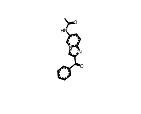 CC(=O)Nc1ccc2nc(C(=O)c3ccccc3)cn2c1